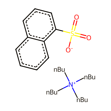 CCCC[N+](CCCC)(CCCC)CCCC.O=S(=O)([O-])c1cccc2ccccc12